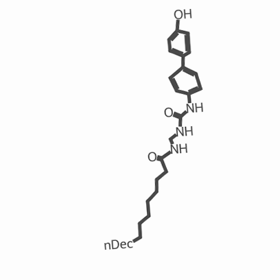 CCCCCCCCCCCCCCCCCC(=O)NCNC(=O)Nc1ccc(-c2ccc(O)cc2)cc1